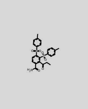 CCC(=O)c1c(C(N)=O)ccc(S(=O)(=O)c2ccc(C)cc2)c1S(=O)(=O)c1ccc(C)cc1